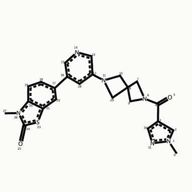 Cn1cc(C(=O)N2CC3(C2)CN(c2cncc(-c4ccc5c(c4)sc(=O)n5C)c2)C3)cn1